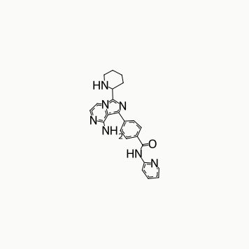 Nc1nccn2c(C3CCCCN3)nc(-c3ccc(C(=O)Nc4ccccn4)cc3)c12